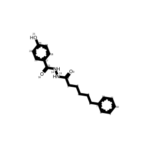 O=C(CCCCCc1ccccc1)NNC(=O)c1ccc(O)cc1